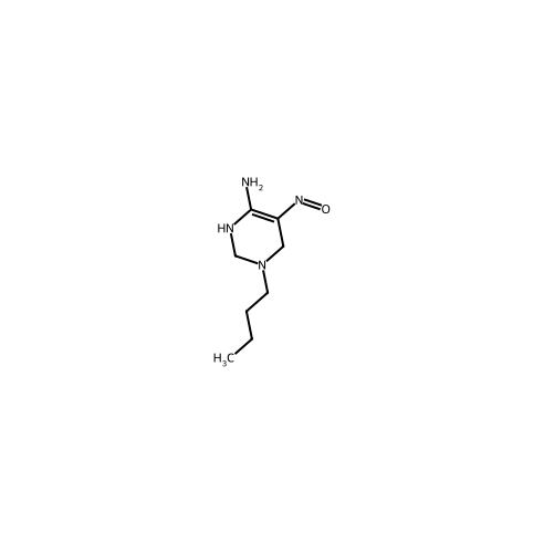 CCCCN1CNC(N)=C(N=O)C1